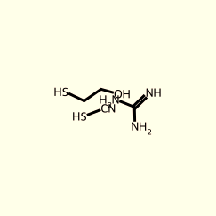 N#CS.N=C(N)N.OCCS